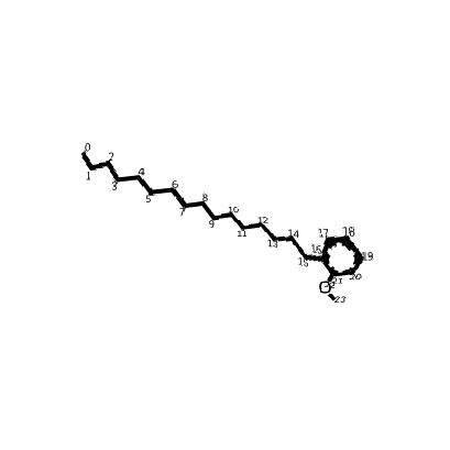 CCCCCCCCCCCCCCCCc1ccccc1OC